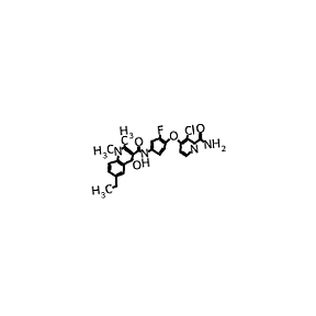 CCc1ccc2c(c1)c(=O)c(C(=O)Nc1ccc(Oc3ccnc(C(N)=O)c3Cl)c(F)c1)c(C)n2C